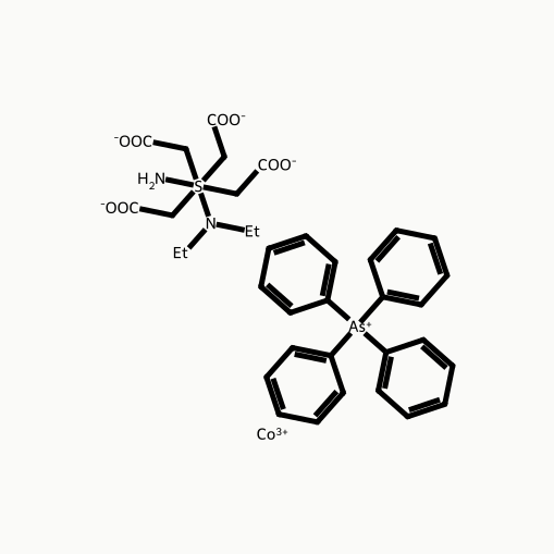 CCN(CC)S(N)(CC(=O)[O-])(CC(=O)[O-])(CC(=O)[O-])CC(=O)[O-].[Co+3].c1ccc([As+](c2ccccc2)(c2ccccc2)c2ccccc2)cc1